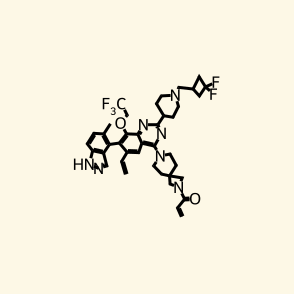 C=CC(=O)N1CC2(CCN(c3nc(C4CCN(CC5CC(F)(F)C5)CC4)nc4c(OCC(F)(F)F)c(-c5c(C)ccc6[nH]ncc56)c(C=C)cc34)CC2)C1